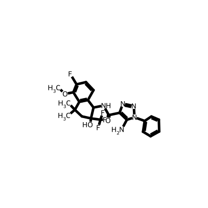 COc1c(F)ccc2c1C(C)(C)CC(O)(C(F)(F)F)C2NC(=O)c1nnn(-c2ccccc2)c1N